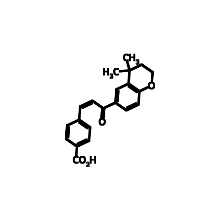 CC1(C)CCOc2ccc(C(=O)/C=C\c3ccc(C(=O)O)cc3)cc21